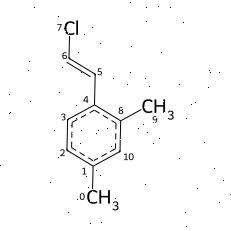 Cc1ccc(/C=C/Cl)c(C)c1